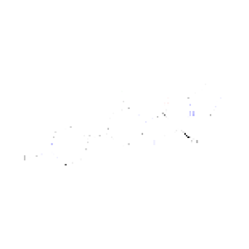 CN1CCC(C2CCN(C(=O)[C@@](C)(N)n3ccnc3)CC2)CC1.Cl